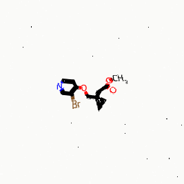 COC(=O)CC1(COc2ccncc2Br)CC1